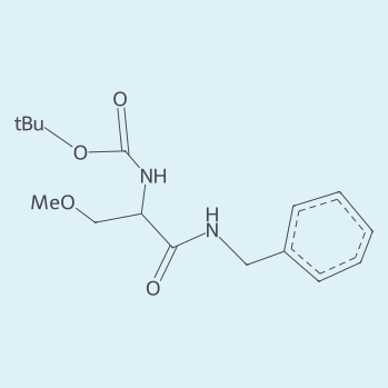 COCC(NC(=O)OC(C)(C)C)C(=O)NCc1ccccc1